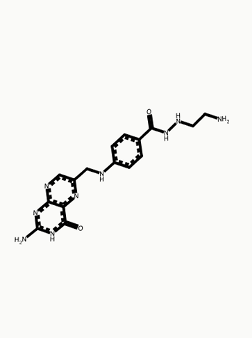 NCCNNC(=O)c1ccc(NCc2cnc3nc(N)[nH]c(=O)c3n2)cc1